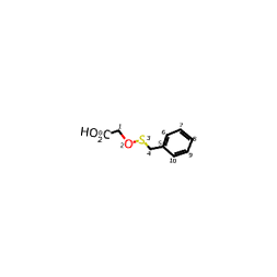 O=C(O)COSCc1ccccc1